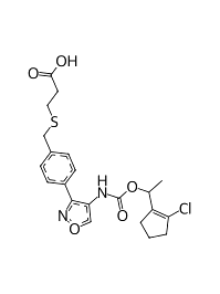 CC(OC(=O)Nc1conc1-c1ccc(CSCCC(=O)O)cc1)C1=C(Cl)CCC1